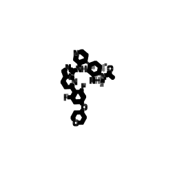 CC(=O)N(C)[C@@H]1[C@H](N)C[C@H](c2ccncc2Nc2ncc3ccc(-c4c(F)cc(OC5CCOCC5)cc4F)nn23)C[C@@H]1C